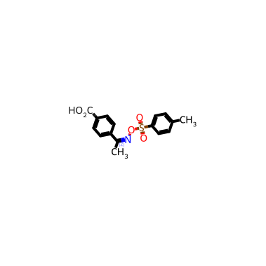 C/C(=N/OS(=O)(=O)c1ccc(C)cc1)c1ccc(C(=O)O)cc1